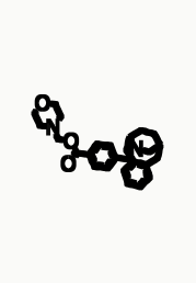 O=C(OCN1CCOCC1)c1ccc(CN2CC3CCC2Cc2ccccc2C3)cc1